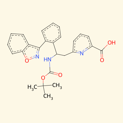 CC(C)(C)OC(=O)NC(Cc1cccc(C(=O)O)n1)c1ccccc1-c1noc2ccccc12